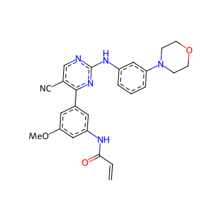 C=CC(=O)Nc1cc(OC)cc(-c2nc(Nc3cccc(N4CCOCC4)c3)ncc2C#N)c1